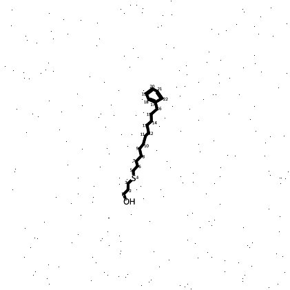 OCCCSCCCCCCCCCCCCc1ccccc1